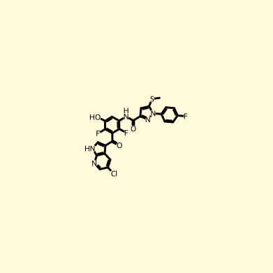 CSc1cc(C(=O)Nc2cc(O)c(F)c(C(=O)c3c[nH]c4ncc(Cl)cc34)c2F)nn1-c1ccc(F)cc1